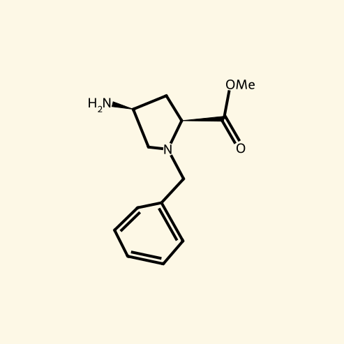 COC(=O)[C@@H]1C[C@H](N)CN1Cc1ccccc1